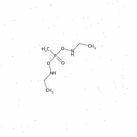 [CH2]P(=O)(ONCC)ONCC